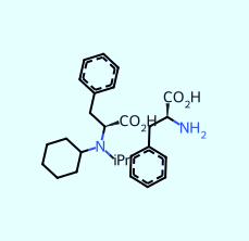 CC(C)N(C1CCCCC1)[C@@H](Cc1ccccc1)C(=O)O.N[C@@H](Cc1ccccc1)C(=O)O